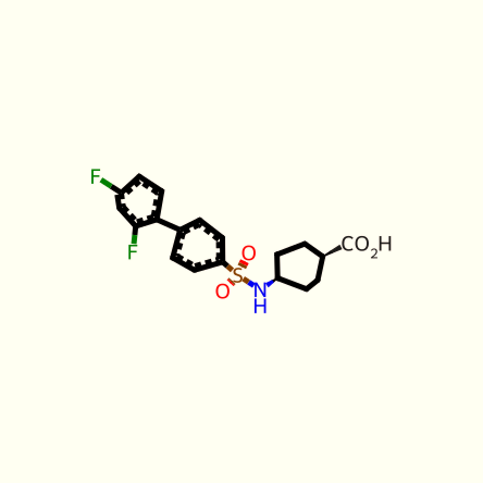 O=C(O)[C@H]1CC[C@@H](NS(=O)(=O)c2ccc(-c3ccc(F)cc3F)cc2)CC1